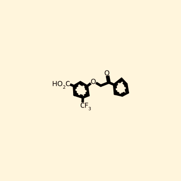 O=C(O)c1cc(OCC(=O)c2ccccc2)cc(C(F)(F)F)c1